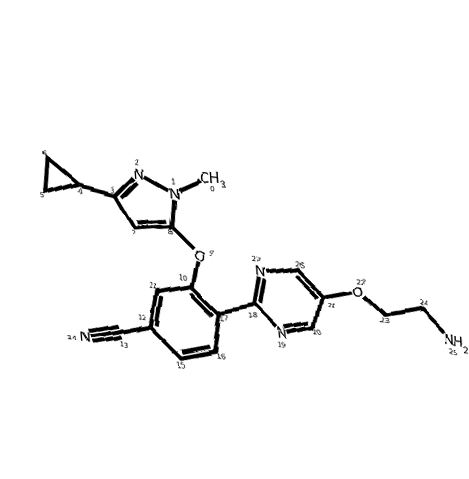 Cn1nc(C2CC2)cc1Oc1cc(C#N)ccc1-c1ncc(OCCN)cn1